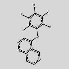 Fc1c(F)c(F)c(Oc2ccnc3ccccc23)c(F)c1F